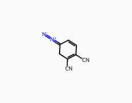 N#CC1=C(C#N)CC(=[N+]=[N-])C=C1